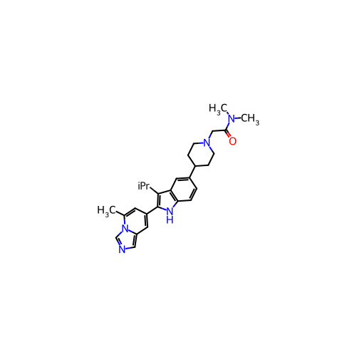 Cc1cc(-c2[nH]c3ccc(C4CCN(CC(=O)N(C)C)CC4)cc3c2C(C)C)cc2cncn12